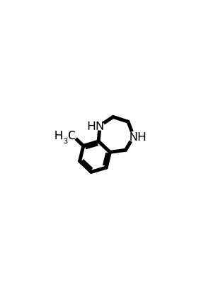 Cc1cccc2c1NCCNC2